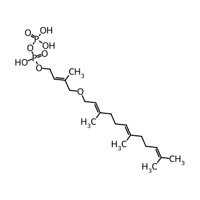 CC(C)=CCC/C(C)=C/CC/C(C)=C/COC/C(C)=C/COP(=O)(O)OP(=O)(O)O